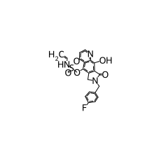 C=CNS(=O)(=O)Oc1c2c(c(O)c3ncccc13)C(=O)N(Cc1ccc(F)cc1)C2